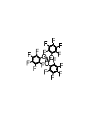 Fc1c(F)c(F)c([O][Al]([O]c2c(F)c(F)c(F)c(F)c2F)[O]c2c(F)c(F)c(F)c(F)c2F)c(F)c1F